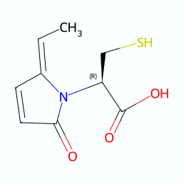 CC=C1C=CC(=O)N1[C@@H](CS)C(=O)O